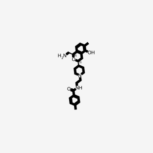 Cc1ccc(C(=O)NCCN2CCC([C@@H]3Cc4c(ccc(C)c4O)[C@H](CN)O3)CC2)cc1